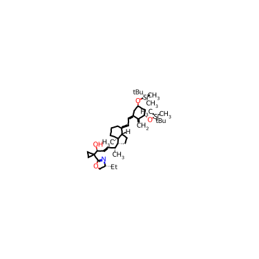 C=C1/C(=C\C=C2/CCC[C@]3(C)[C@@H]([C@H](C)/C=C/[C@H](O)C4(C5=N[C@H](CC)CO5)CC4)CC[C@@H]23)C[C@@H](O[Si](C)(C)C(C)(C)C)C[C@@H]1O[Si](C)(C)C(C)(C)C